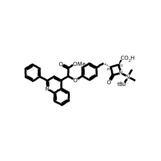 COC(=O)C(Oc1ccc(C[C@H]2C(=O)N([Si](C)(C)C(C)(C)C)[C@@H]2C(=O)O)cc1)c1cc(-c2ccccc2)nc2ccccc12